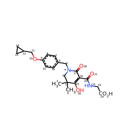 CC1(C)CN(Cc2ccc(OCC3CC3)cc2)C(=O)C(C(=O)NCC(=O)O)=C1O